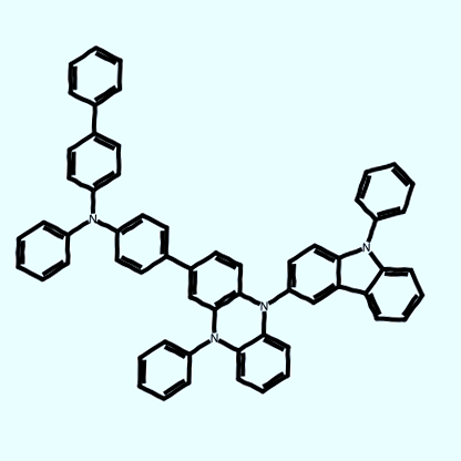 c1ccc(-c2ccc(N(c3ccccc3)c3ccc(-c4ccc5c(c4)N(c4ccccc4)c4ccccc4N5c4ccc5c(c4)c4ccccc4n5-c4ccccc4)cc3)cc2)cc1